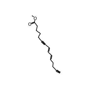 C#CCC/C=C/C=C/C#CCCCCC(=O)OC